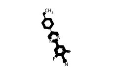 CC[C@H]1CC[C@H](c2cnc(-c3cc(F)c(C#N)c(F)c3)nc2)CC1